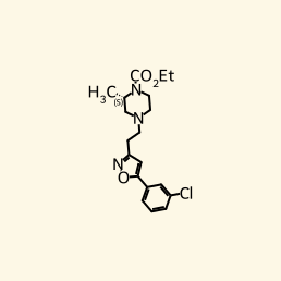 CCOC(=O)N1CCN(CCc2cc(-c3cccc(Cl)c3)on2)C[C@@H]1C